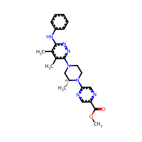 COC(=O)c1cnc(N2CCN(c3nnc(Nc4ccccc4)c(C)c3C)C[C@H]2C)cn1